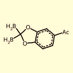 BC1(B)Oc2ccc(C(C)=O)cc2O1